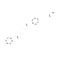 C=CC(=O)OCOc1ccc(OC(=O)[C@H]2CC[C@H](C(=O)Oc3c(F)c(F)c(F)c(F)c3F)CC2)cc1